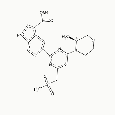 COC(=O)c1c[nH]c2ccc(-c3nc(CS(C)(=O)=O)cc(N4CCOC[C@@H]4C)n3)cc12